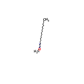 [CH2]O/C=C/C=C/CCCCCCCCCCCCCCCC